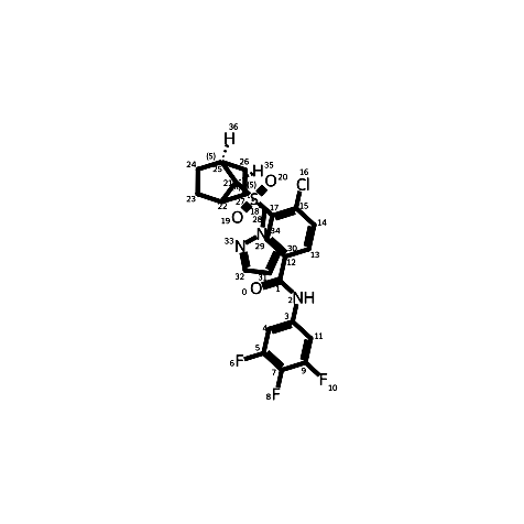 O=C(Nc1cc(F)c(F)c(F)c1)c1ccc(Cl)c(S(=O)(=O)[C@H]2C3CC[C@H]2C[C@@H]3Cn2cccn2)c1